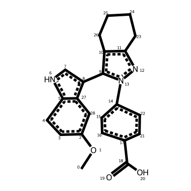 COc1ccc2[nH]cc(-c3c4c(nn3-c3ccc(C(=O)O)cc3)CCCC4)c2c1